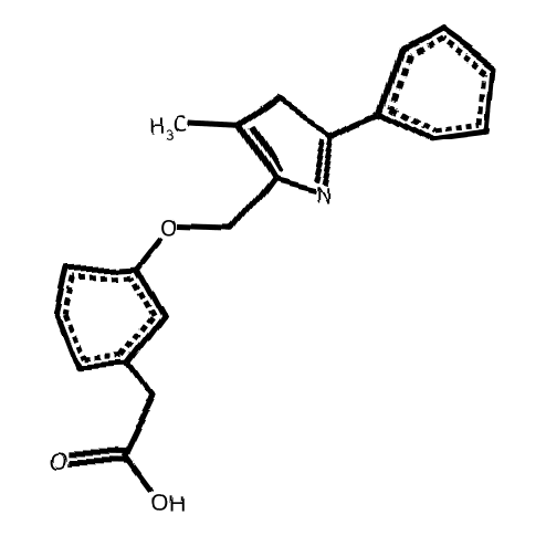 CC1=C(COc2cccc(CC(=O)O)c2)N=C(c2ccccc2)C1